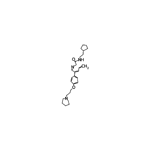 C=C/C=C(\C=N/CC(=O)NCCC1CCCC1)c1ccc(OCCCN2CCCCC2)cc1